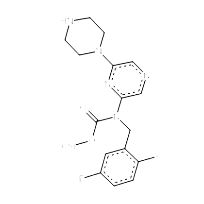 CC(C)(C)OC(=O)N(Cc1cc(F)ccc1F)c1cncc(N2CCNCC2)n1